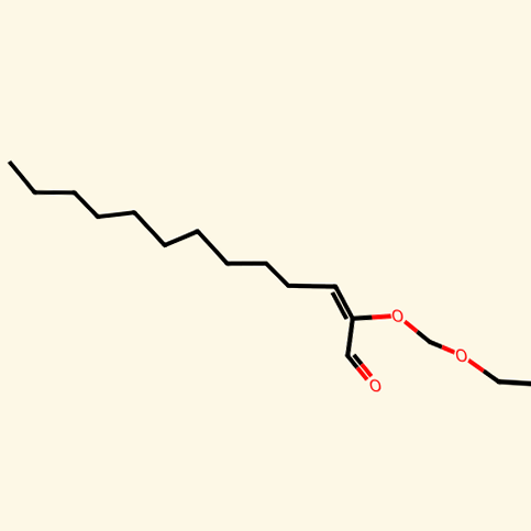 CCCCCCCCCC/C=C(\C=O)OCOCC